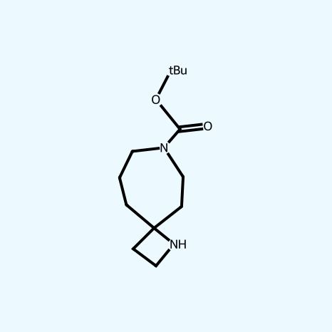 CC(C)(C)OC(=O)N1CCCC2(CCN2)CC1